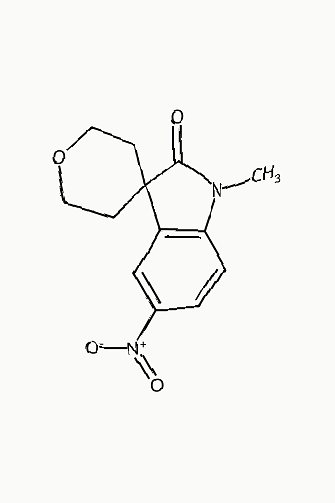 CN1C(=O)C2(CCOCC2)c2cc([N+](=O)[O-])ccc21